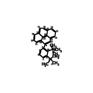 CC(C)(C)c1cccc(-c2cc3cccc4ccc5cccc2c5c43)c1C(C)(C)C